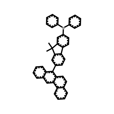 CC1(C)c2cc(-c3c4ccccc4cc4c3ccc3ccccc34)ccc2-c2ccc(N(c3ccccc3)c3ccccc3)cc21